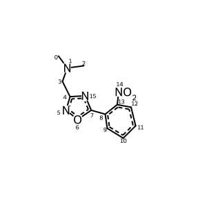 CN(C)Cc1noc(-c2ccccc2[N+](=O)[O-])n1